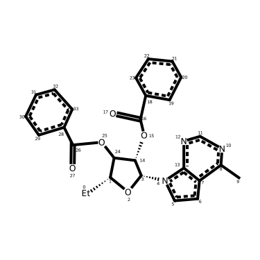 CC[C@H]1O[C@@H](n2ccc3c(C)ncnc32)[C@@H](OC(=O)c2ccccc2)C1OC(=O)c1ccccc1